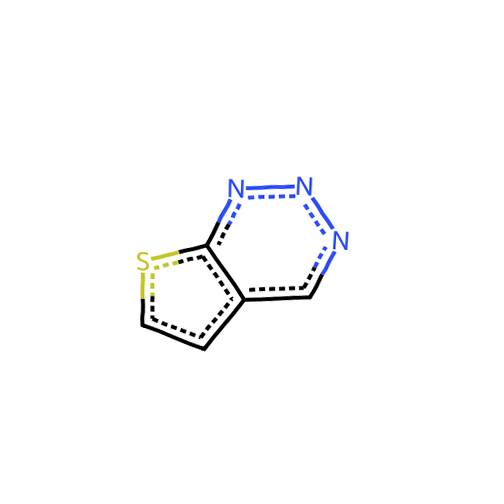 c1cc2cnnnc2s1